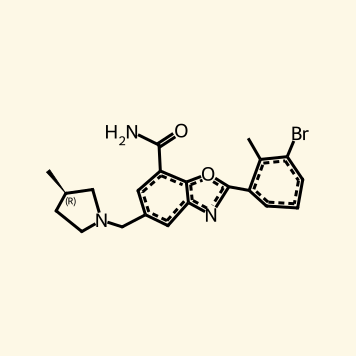 Cc1c(Br)cccc1-c1nc2cc(CN3CC[C@@H](C)C3)cc(C(N)=O)c2o1